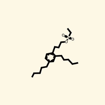 CCCCCc1ccc(CCCOS(=O)(=O)CC)c(CCCCC)c1